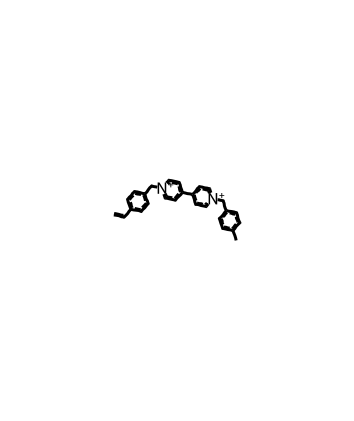 C=Cc1ccc(C[n+]2ccc(-c3cc[n+](Cc4ccc(C)cc4)cc3)cc2)cc1